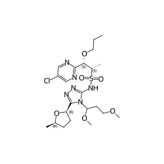 CCCO[C@@H](c1ncc(Cl)cn1)[C@H](C)S(=O)(=O)Nc1nnc([C@H]2CC[C@@H](C)O2)n1C(CCOC)OC